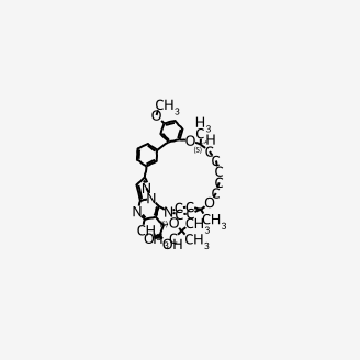 COc1ccc2c(c1)-c1cccc(c1)-c1cc3nc(C)c([C@H](OC(C)(C)C)C(=O)O)c(n3n1)N1CCC(C)(CC1)OCCCCC[C@H](C)O2